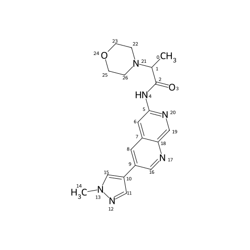 CC(C(=O)Nc1cc2cc(-c3cnn(C)c3)cnc2cn1)N1CCOCC1